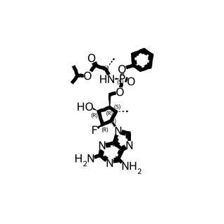 CC(C)OC(=O)[C@H](C)N[P@](=O)(OC[C@H]1[C@H](C)[C@@H](n2cnc3c(N)nc(N)nc32)[C@@H](F)[C@@H]1O)Oc1ccccc1